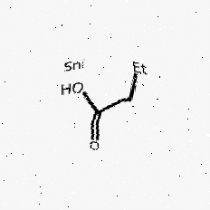 CCCC(=O)O.[Sn]